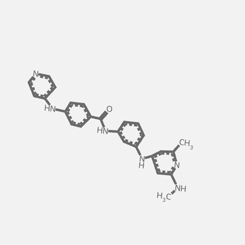 CNc1cc(Nc2cccc(NC(=O)c3ccc(Nc4ccncc4)cc3)c2)cc(C)n1